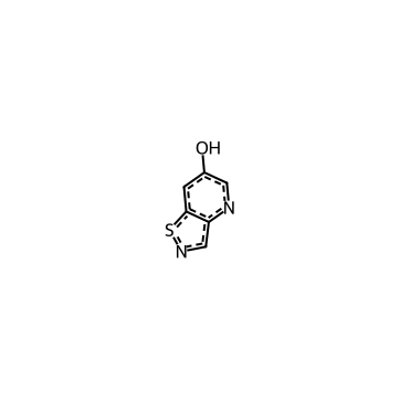 Oc1cnc2cnsc2c1